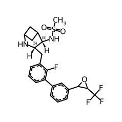 CS(=O)(=O)N[C@H]1C2CC(C2)N[C@H]1Cc1cccc(-c2cccc(C3OC3C(F)(F)F)c2)c1F